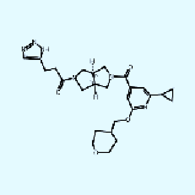 O=C(CCc1cnn[nH]1)N1C[C@H]2CN(C(=O)c3cc(OCC4CCOCC4)nc(C4CC4)c3)C[C@@H]2C1